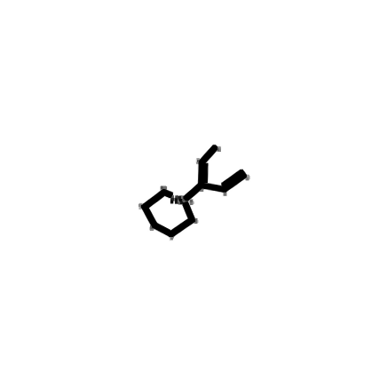 C=CC(=CC)[SiH]1CCCCC1